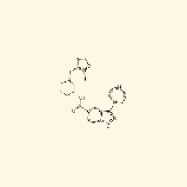 Cn1cnnc1CN1CCC[C@@H](NC(=O)c2ccc3[nH]nc(-c4ccncc4)c3c2)C1